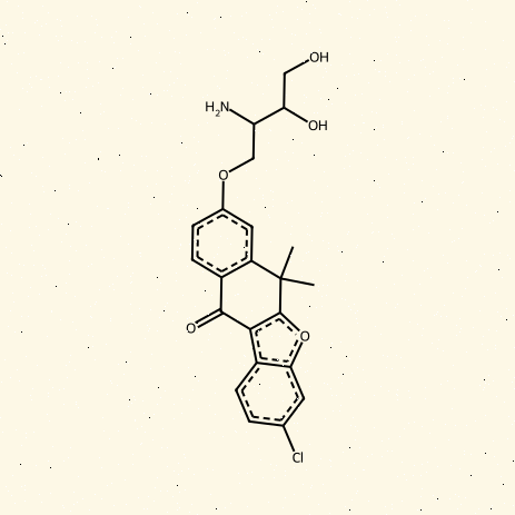 CC1(C)c2cc(OCC(N)C(O)CO)ccc2C(=O)c2c1oc1cc(Cl)ccc21